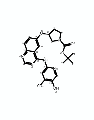 CC(C)(C)OC(=O)N1CC[C@H](Oc2ccc3ncnc(Nc4cc(Cl)c(O)cn4)c3c2)C1